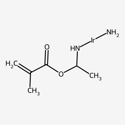 C=C(C)C(=O)OC(C)[NH][Ir][NH2]